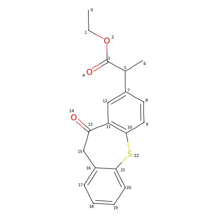 CCOC(=O)C(C)c1ccc2c(c1)C(=O)Cc1ccccc1S2